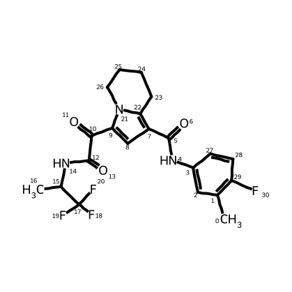 Cc1cc(NC(=O)c2cc(C(=O)C(=O)NC(C)C(F)(F)F)n3c2CCCC3)ccc1F